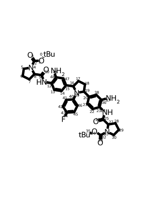 CC(C)(C)OC(=O)N1CCCC1C(=O)Nc1ccc(C2CCC(c3ccc(NC(=O)C4CCCN4C(=O)OC(C)(C)C)c(N)c3)N2c2ccc(F)cc2)cc1N